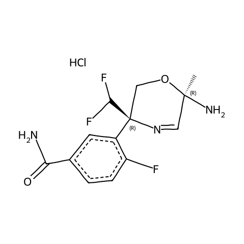 C[C@]1(N)C=N[C@@](c2cc(C(N)=O)ccc2F)(C(F)F)CO1.Cl